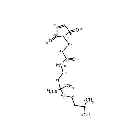 CC(C)CCOC(C)(C)CCNC(=O)CCN1C(=O)C=CC1=O